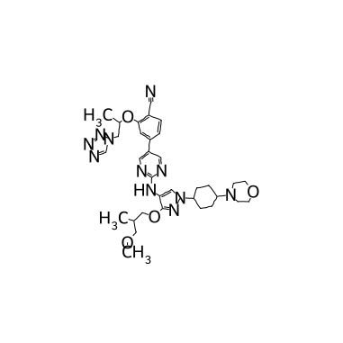 COCC(C)COc1nn(C2CCC(N3CCOCC3)CC2)cc1Nc1ncc(-c2ccc(C#N)c(OC(C)Cn3cnnn3)c2)cn1